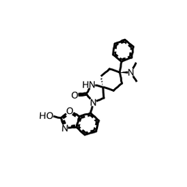 CN(C)[C@]1(c2ccccc2)CC[C@]2(CC1)CN(c1cccc3nc(O)oc13)C(=O)N2